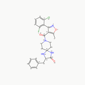 Cc1onc(-c2c(F)cccc2Cl)c1C(=O)N1CCC2(CC1)NC(=O)C(Cc1ccccc1)N2